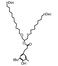 CCCCCCCCCCCCCCCCCCSCCOCC(CSCCCCCCCCCCCCCCCCCC)OC(=O)CCc1cc(C)c(O)c(C(C)(C)C)c1